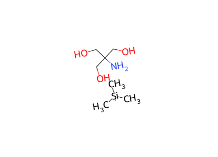 C[Si](C)C.NC(CO)(CO)CO